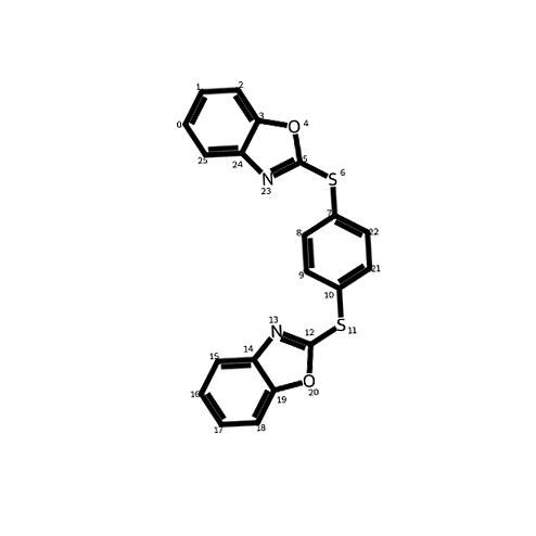 c1ccc2oc(Sc3ccc(Sc4nc5ccccc5o4)cc3)nc2c1